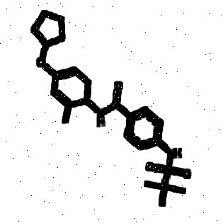 CC1=CC(OC2CCCC2)=CCC1NC(=O)c1ccc(NS(=O)(=O)C(C)(C)C)cc1